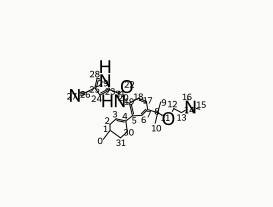 CC1CC=C(c2cc(C(C)(C)OCCN(C)C)ccc2NC(=O)c2cc(C#N)c[nH]2)CC1